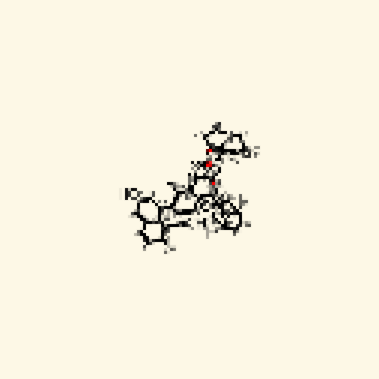 C#Cc1c(F)ccc2cc(O)cc(-c3ccc4c(N5C[C@H]6CC[C@@H](C5)N6C(=O)OCOC(=O)CCCCCCCCC)nc(OC[C@@]56CCCN5C[C@H](F)C6)nc4c3F)c12